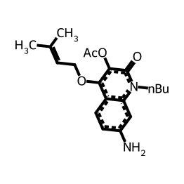 CCCCn1c(=O)c(OC(C)=O)c(OCC=C(C)C)c2ccc(N)cc21